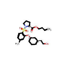 CCCCOC(=O)[C@@H]1CCCN1S(=O)(=O)c1ccc(C)cc1O[C@@H]1CCC[C@H](CCO)C1